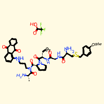 COc1ccc(CSC[C@H](N)C(=O)NCC(=O)N[C@@H](CC(C)C)C(=O)N2CCC[C@H]2C(=O)N(CCCNc2cccc3c2C(=O)c2ccccc2C3=O)C(=O)[C@H](C)N)cc1.O=C(O)C(F)(F)F